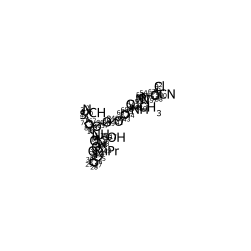 Cc1ncsc1-c1ccc(CNC(=O)C2C[C@@H](O)CN2C(=O)[C@H](C(C)C)N2Cc3ccccc3C2=O)c(OCCOCCOc2ccc(C(=O)NC(C)Cn3ccc(-c4ccc(C#N)c(Cl)c4)n3)cc2)c1